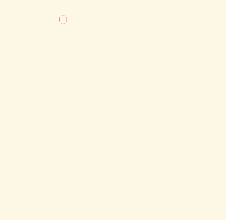 Cc1ccccc1C1CCC(=O)CC1